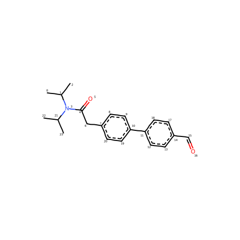 CC(C)N(C(=O)Cc1ccc(-c2ccc(C=O)cc2)cc1)C(C)C